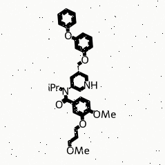 COCCCOc1cc(C(=O)N(C(C)C)[C@H]2CNC[C@@H](COc3cccc(Oc4ccccc4)c3)C2)ccc1OC